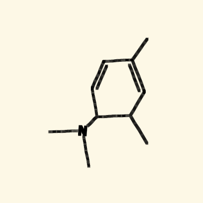 CC1=CC(C)C(N(C)C)C=C1